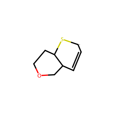 [CH]1C=CC2COCCC2S1